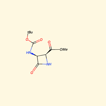 COC(=O)[C@H]1NC(=O)[C@H]1NC(=O)OC(C)(C)C